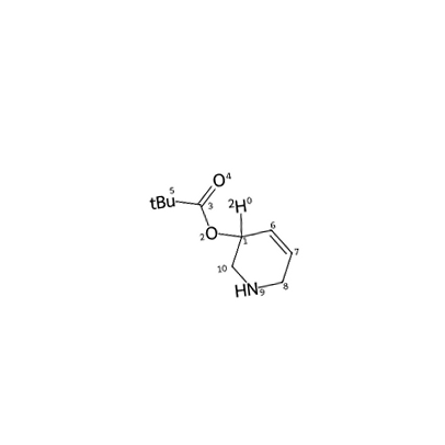 [2H]C1(OC(=O)C(C)(C)C)C=CCNC1